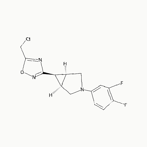 Fc1ccc(N2C[C@@H]3[C@H](C2)[C@@H]3c2noc(CCl)n2)cc1F